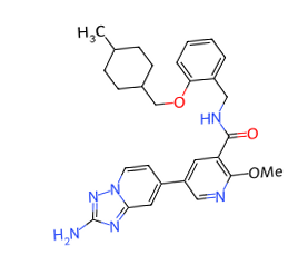 COc1ncc(-c2ccn3nc(N)nc3c2)cc1C(=O)NCc1ccccc1OCC1CCC(C)CC1